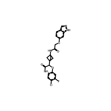 NC(=O)C(Oc1ccc(Cl)c(F)c1)C12CC(NC(=O)COc3ccc4cn[nH]c4c3)(C1)C2